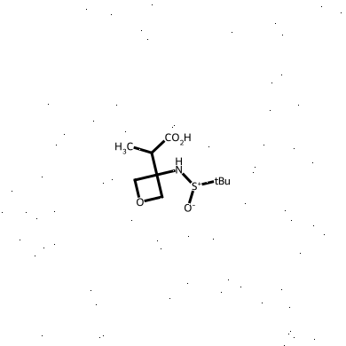 CC(C(=O)O)C1(N[S+]([O-])C(C)(C)C)COC1